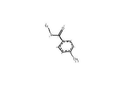 CCSC(=O)c1ccc(C)cc1